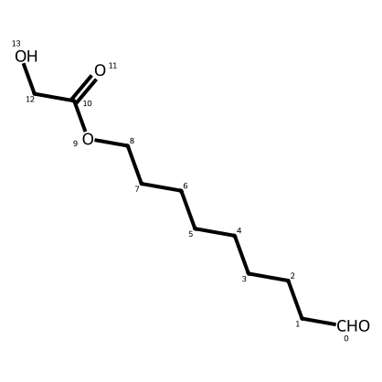 O=CCCCCCCCCOC(=O)CO